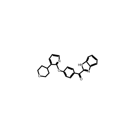 O=C(c1ccc(Oc2ncccc2C2CCOCC2)cc1)c1nc2ccccc2[nH]1